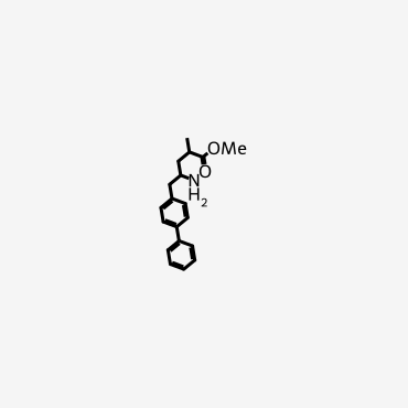 COC(=O)C(C)CC(N)Cc1ccc(-c2ccccc2)cc1